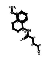 COc1cccc2c1CCCC2NC(=O)CCCCl